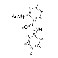 CC(=O)Nc1ccccc1C(=O)Nc1cnc(C)nc1